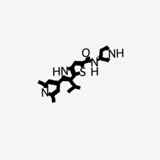 Cc1cc(-c2[nH]c3cc(C(=O)N[C@H]4CCNC4)sc3c2C(C)C)cc(C)n1